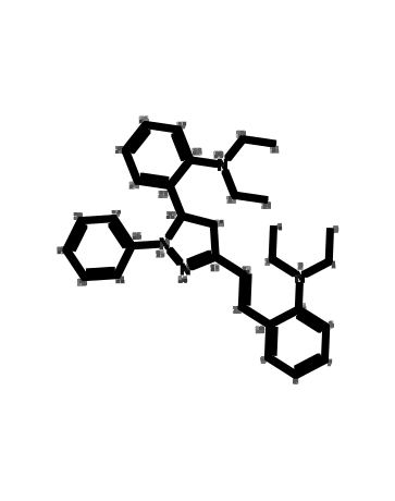 CCN(CC)c1ccccc1/C=C/C1=NN(c2ccccc2)C(c2ccccc2N(CC)CC)C1